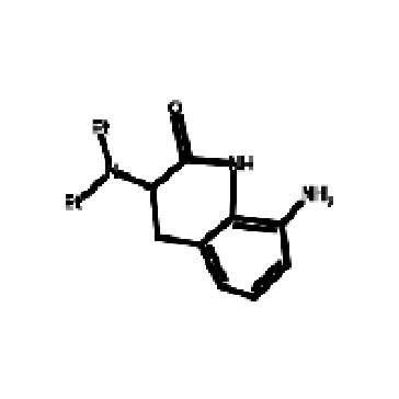 CCN(CC)C1Cc2cccc(N)c2NC1=O